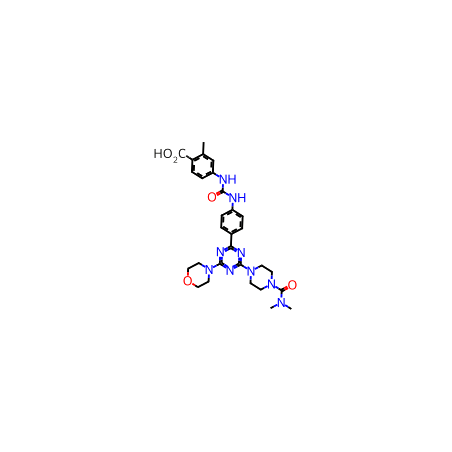 Cc1cc(NC(=O)Nc2ccc(-c3nc(N4CCOCC4)nc(N4CCN(C(=O)N(C)C)CC4)n3)cc2)ccc1C(=O)O